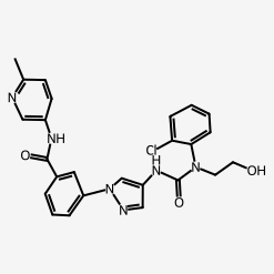 Cc1ccc(NC(=O)c2cccc(-n3cc(NC(=O)N(CCO)c4ccccc4Cl)cn3)c2)cn1